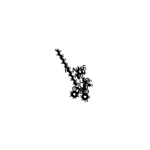 C#C[C@](CCn1cnc2c(N)nc(F)nc21)(COP(=O)(N[C@@H](Cc1ccccc1)C(=O)OCCCCCCCCCCCCCCCCC)Oc1ccccc1)OC